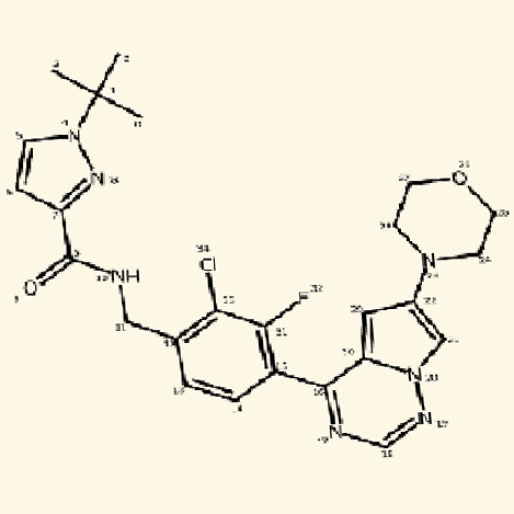 CC(C)(C)n1ccc(C(=O)NCc2ccc(-c3ncnn4cc(N5CCOCC5)cc34)c(F)c2Cl)n1